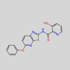 O=C(Nc1nc2ccc(Oc3ccccc3)nc2s1)c1ncccc1O